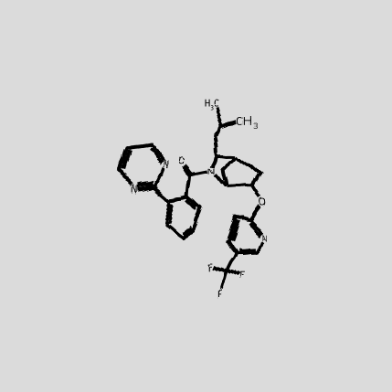 CC(C)CC1C2CC(Oc3ccc(C(F)(F)F)cn3)C(C2)N1C(=O)c1ccccc1-c1ncccn1